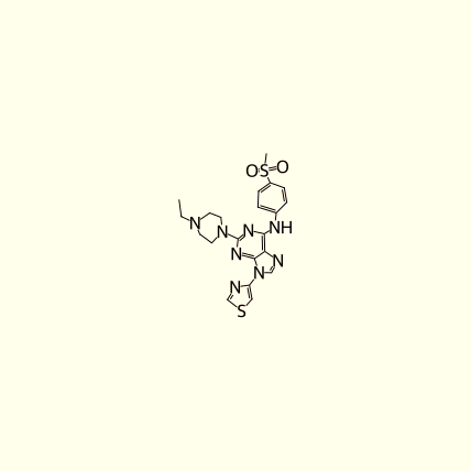 CCN1CCN(c2nc(Nc3ccc(S(C)(=O)=O)cc3)c3ncn(-c4cscn4)c3n2)CC1